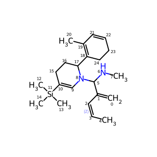 C=C(/C=C\C)C(NC)N1C=C([Si](C)(C)C)CCC1C1=C(C)C=CCC1